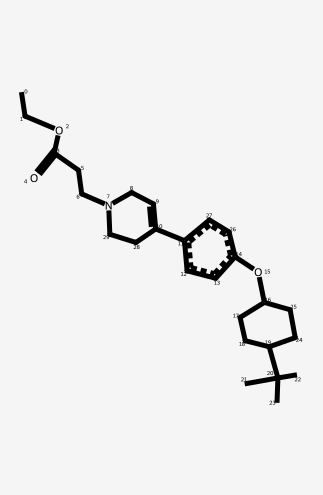 CCOC(=O)CCN1CC=C(c2ccc(OC3CCC(C(C)(C)C)CC3)cc2)CC1